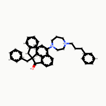 O=C1c2cccc3c(N4CCCN(CCCc5ccccc5)CC4)ccc(c23)C1(Cc1ccccc1)Cc1ccccc1